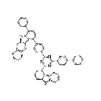 c1ccc(-c2ccc(-c3nc(-c4ccc(-c5ccc(-c6ccccc6)c6oc7cc8ccccc8cc7c56)cc4)nc(-c4cccc5sc6ccccc6c45)n3)cc2)cc1